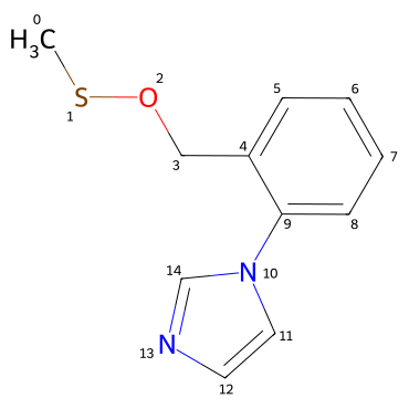 CSOCc1ccccc1-n1ccnc1